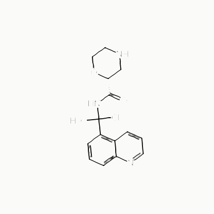 CC(C)(NC(=O)[C@H]1CNCCO1)c1cccc2ncccc12